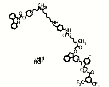 CN(CCN1CCC(OC(=O)Nc2ccccc2-c2ccccc2)CC1)C(=O)CCCCCNCc1ccc(NC(=O)OCCCN(C)C(=O)CO[C@H]2Cc3ccccc3C23CCN(CC[C@]2(c4ccc(F)cc4)CN(C(=O)c4cc(C(F)(F)F)cc(C(F)(F)F)c4)CO2)CC3)cc1.Cl.Cl.Cl